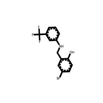 Oc1ccc(Br)cc1CNc1cccc(C(F)(F)F)c1